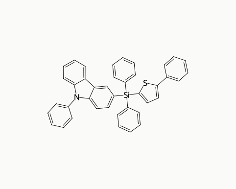 c1ccc(-c2ccc([Si](c3ccccc3)(c3ccccc3)c3ccc4c(c3)c3ccccc3n4-c3ccccc3)s2)cc1